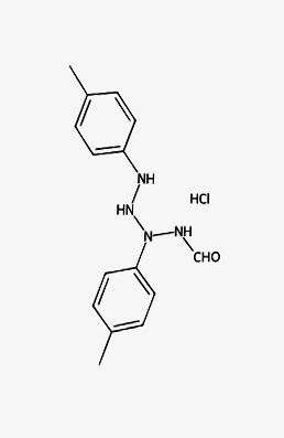 Cc1ccc(NNN(NC=O)c2ccc(C)cc2)cc1.Cl